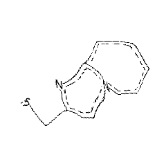 [S]Cc1cn2ccccc2n1